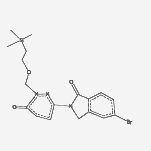 C[Si](C)(C)CCOCn1nc(N2Cc3cc(Br)ccc3C2=O)ccc1=O